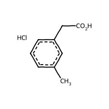 Cc1cccc(CC(=O)O)c1.Cl